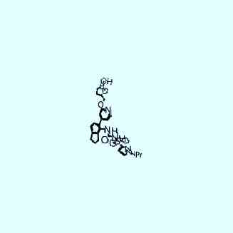 CC(C)n1ccc(S(=O)(=O)NC(=O)Nc2c(-c3ccnc(OCC4CCB(O)O4)c3)ccc3c2CCC3)n1